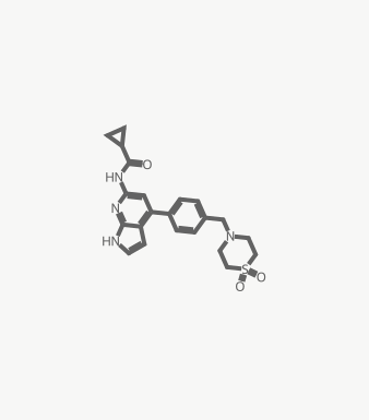 O=C(Nc1cc(-c2ccc(CN3CCS(=O)(=O)CC3)cc2)c2cc[nH]c2n1)C1CC1